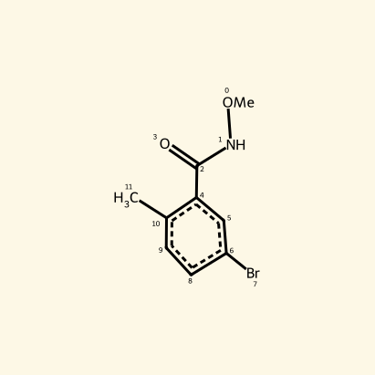 CONC(=O)c1cc(Br)ccc1C